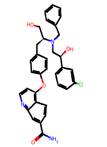 NC(=O)c1ccc2c(Oc3ccc(C[C@@H](CO)N(Cc4ccccc4)C[C@@H](O)c4cccc(Cl)c4)cc3)ccnc2c1